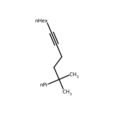 [CH2]CCCCCC#CCCC(C)(C)CCC